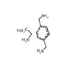 NCC(=O)O.NCc1ccc(CN)cc1